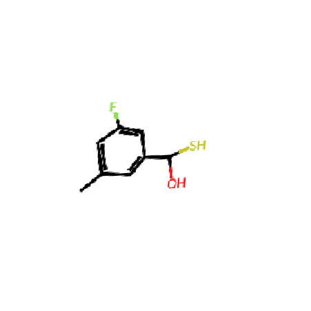 Cc1cc(F)cc(C(O)S)c1